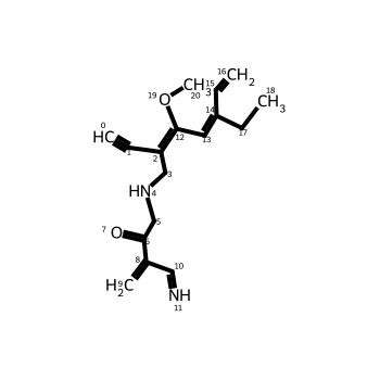 C#C/C(CNCC(=O)C(=C)C=N)=C(/C=C(\C=C)CC)OC